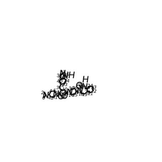 CN(C)C1CCN(C(=O)C(CC(=O)N2CCC(N3CCc4ccccc4NC3=O)CC2)Cc2ccc3[nH]ncc3c2)CC1